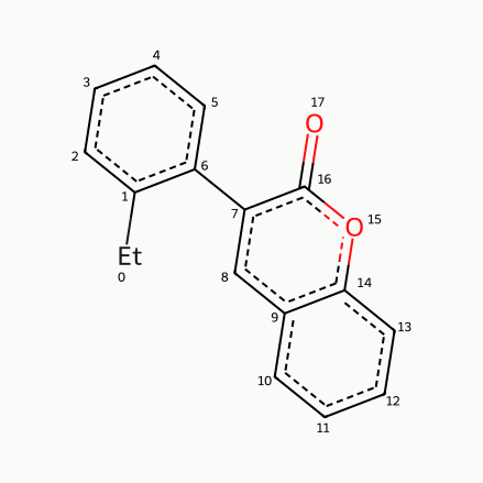 CCc1ccccc1-c1cc2ccccc2oc1=O